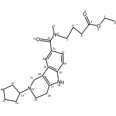 CCOC(=O)CCCN(C)C(=O)c1ccc2[nH]c3c(c2c1)CN(C1CCCC1)CC3